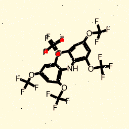 FC(F)(F)Oc1cc(OC(F)(F)F)c(Nc2c(OC(F)(F)F)cc(OC(F)(F)F)cc2OC(F)(F)F)c(OC(F)(F)F)c1